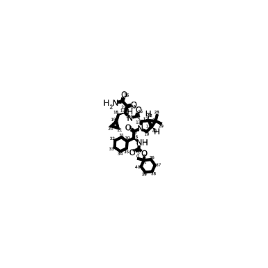 CC1(OC(=O)N[C@H](C(=O)N2C[C@H]3[C@@H]([C@H]2C(=O)N[C@@H](CC2CC2)C(=O)C(N)=O)C3(C)C)C2CCCCC2)CCCCC1